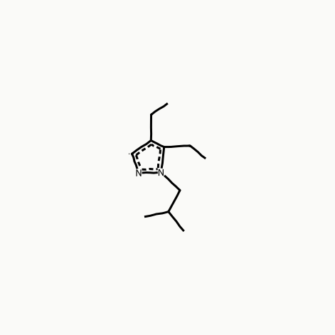 CCc1[c]nn(CC(C)C)c1CC